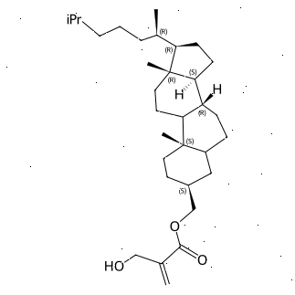 C=C(CO)C(=O)OC[C@H]1CC[C@@]2(C)C(CC[C@@H]3C2CC[C@]2(C)[C@@H]([C@H](C)CCCC(C)C)CC[C@@H]32)C1